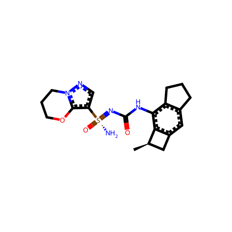 C[C@@H]1Cc2cc3c(c(NC(=O)N=[S@@](N)(=O)c4cnn5c4OCCC5)c21)CCC3